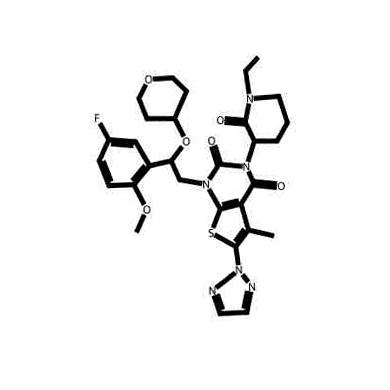 CCN1CCCC(n2c(=O)c3c(C)c(-n4nccn4)sc3n(CC(OC3CCOCC3)c3cc(F)ccc3OC)c2=O)C1=O